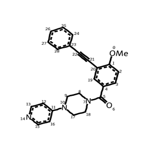 COc1ccc(C(=O)N2CCN(c3ccncc3)CC2)cc1C#Cc1ccccc1